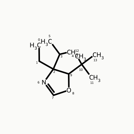 CCC1(C(C)C)N=COC1C(C)(C)C